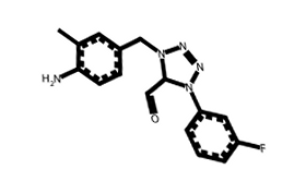 Cc1cc(CN2N=NN(c3cccc(F)c3)C2C=O)ccc1N